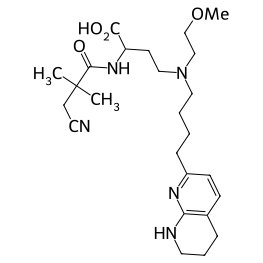 COCCN(CCCCc1ccc2c(n1)NCCC2)CCC(NC(=O)C(C)(C)CC#N)C(=O)O